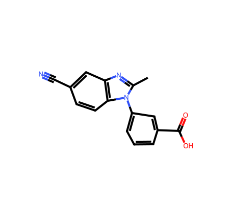 Cc1nc2cc(C#N)ccc2n1-c1cccc(C(=O)O)c1